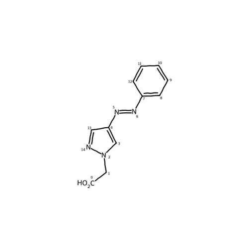 O=C(O)Cn1cc(N=Nc2ccccc2)cn1